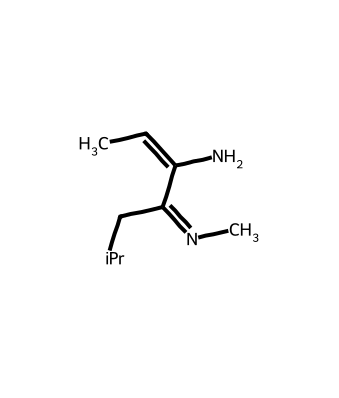 C/C=C(N)\C(CC(C)C)=N/C